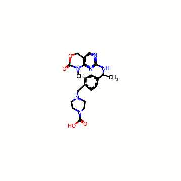 C[C@H](Nc1ncc2c(n1)N(C)C(=O)OC2)c1ccc(CN2CCN(C(=O)O)CC2)cc1